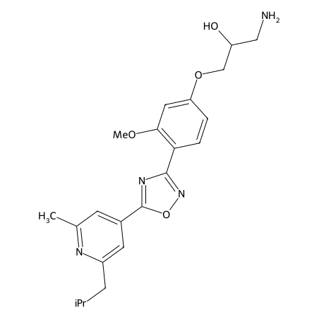 COc1cc(OCC(O)CN)ccc1-c1noc(-c2cc(C)nc(CC(C)C)c2)n1